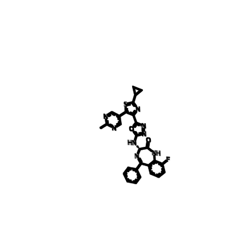 Cc1ncc(-c2sc(C3CC3)nc2-c2nnc(N[C@H]3N=C(c4ccccc4)c4cccc(F)c4NC3=O)o2)cn1